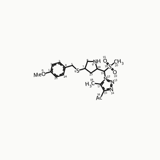 COc1ccc(CSC2CNC(C(n3nnc(C(C)=O)c3C)S(C)(=O)=O)C2)cc1